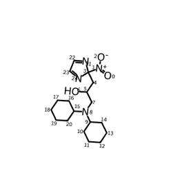 O=[N+]([O-])C1(CC(O)CN(C2CCCCC2)C2CCCCC2)N=CC=N1